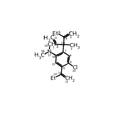 C=CC(C)(C(=C)CC)c1cc(Cl)c(C(=C)CC)cc1N(C)C